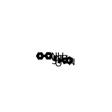 O=C(NC(=S)Nc1ccc(-c2ccccc2)cc1)c1cc2cnccc2o1